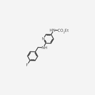 CCOC(=O)Nc1ccc(NCc2ccc(F)cc2)nc1